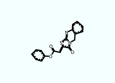 O=C(C=c1sc2n(c1=O)Cc1ccccc1N=2)Oc1ccccc1